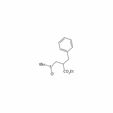 CCOC(=O)C(Cc1ccccc1)C[S+]([O-])C(C)(C)C